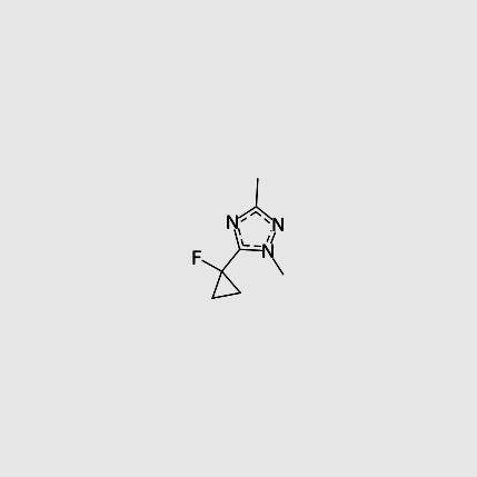 Cc1nc(C2(F)CC2)n(C)n1